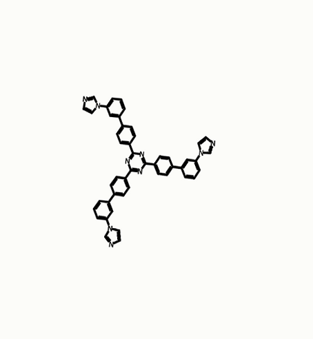 c1cc(-c2ccc(-c3nc(-c4ccc(-c5cccc(-n6ccnc6)c5)cc4)nc(-c4ccc(-c5cccc(-n6ccnc6)c5)cc4)n3)cc2)cc(-n2ccnc2)c1